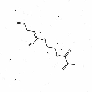 C=CC/C=C(\CCC)OCCOC(=O)C(=C)C